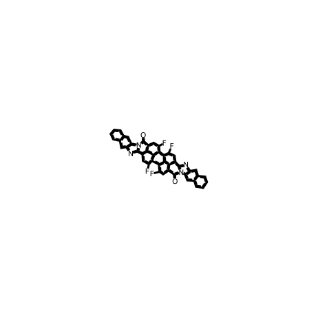 O=c1c2cc(F)c3c4c(F)cc5c6c(cc(F)c(c7c(F)cc(c2c37)c2nc3cc7ccccc7cc3n12)c46)c(=O)n1c2cc3ccccc3cc2nc51